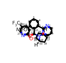 COc1cccc(-c2ncccn2)c1C(=O)N1[C@@H]2CC[C@H]1[C@H](Oc1ccc(C(F)(F)F)cn1)C2